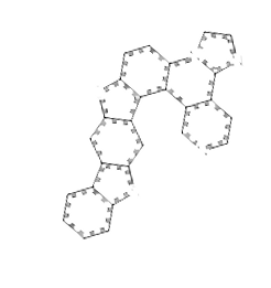 c1ccc2c(c1)sc1cc3c(cc12)sc1ccc2c(c4cnccc4c4nccn24)c13